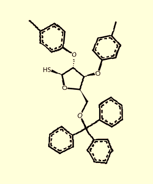 Cc1ccc(O[C@@H]2[C@@H](Oc3ccc(C)cc3)[C@@H](COC(c3ccccc3)(c3ccccc3)c3ccccc3)O[C@H]2S)cc1